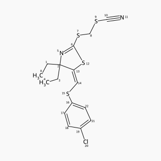 CCC1(CC)N=C(SCSC#N)S/C1=C/Sc1ccc(Cl)cc1